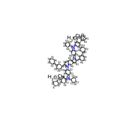 CC1(C)c2ccccc2-c2ccc(N(c3ccccc3)c3ccc(-n4c(-c5cccc(-c6ccccc6)c5)cc5cc6c(cc(-c7cccc(-c8ccccc8)c7)n6-c6ccc(N(c7ccccc7)c7ccc8c(c7)C(C)(C)c7ccccc7-8)cc6)cc54)cc3)cc21